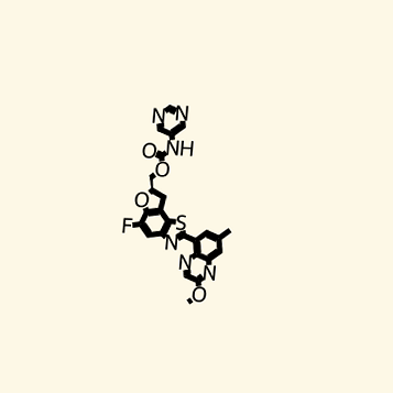 COc1cnc2c(-c3nc4cc(F)c5c(c4s3)C[C@H](COC(=O)Nc3cncnc3)O5)cc(C)cc2n1